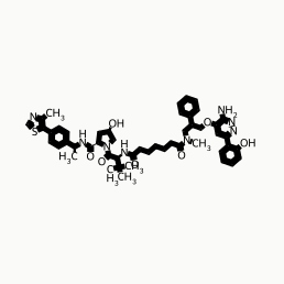 Cc1ncsc1-c1ccc([C@H](C)NC(=O)[C@@H]2C[C@@H](O)CN2C(=O)[C@@H](NC(=O)CCCCCC(=O)N(C)CC(COc2cc(-c3ccccc3O)nnc2N)c2ccccc2)C(C)(C)C)cc1